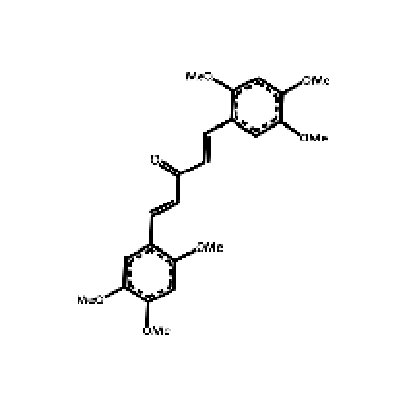 COc1cc(OC)c(OC)cc1C=CC(=O)C=Cc1cc(OC)c(OC)cc1OC